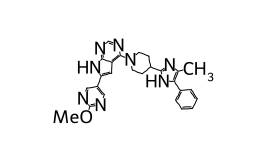 COc1ncc(-c2cc3c(N4CCC(c5nc(C)c(-c6ccccc6)[nH]5)CC4)ncnc3[nH]2)cn1